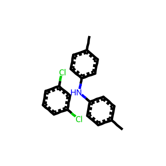 Cc1ccc(Nc2ccc(C)cc2)cc1.Clc1cccc(Cl)c1